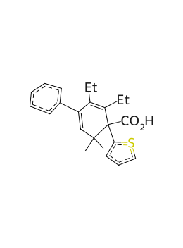 CCC1=C(CC)C(C(=O)O)(c2cccs2)C(C)(C)C=C1c1ccccc1